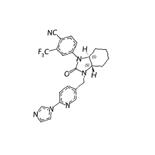 N#Cc1ccc(N2C(=O)N(Cc3ccc(-n4ccnc4)nc3)[C@H]3CCCC[C@@H]32)cc1C(F)(F)F